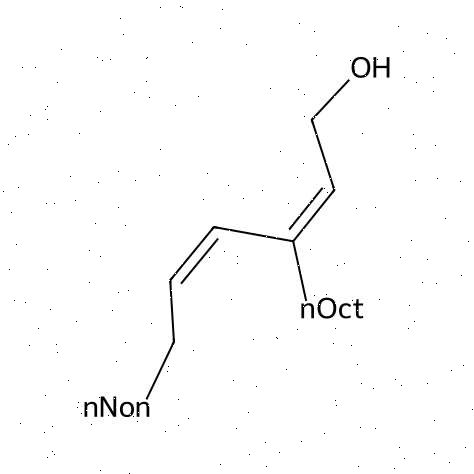 CCCCCCCCCC/C=C\C(=C/CO)CCCCCCCC